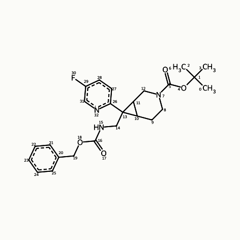 CC(C)(C)OC(=O)N1CCC2C(C1)C2(CNC(=O)OCc1ccccc1)c1ccc(F)cn1